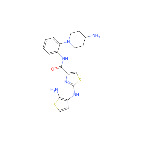 Nc1sccc1Nc1nc(C(=O)Nc2ccccc2N2CCC(N)CC2)cs1